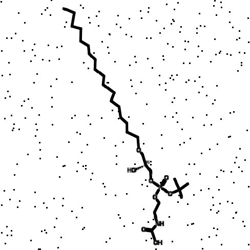 CCCCCCCCCCCCCCCCCCOC[C@@H](O)COP(=O)(OCCNC(=O)O)OC(C)(C)C